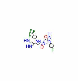 N=C/C=C(\C=N)c1cc(C(=O)N2CCC3(CC2)C(=O)NCN3c2ccc(F)cc2)nn1-c1ccc(C(F)(F)F)c(F)c1